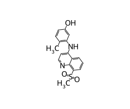 Cc1ccc(O)cc1Nc1ccnc2c(S(C)(=O)=O)cccc12